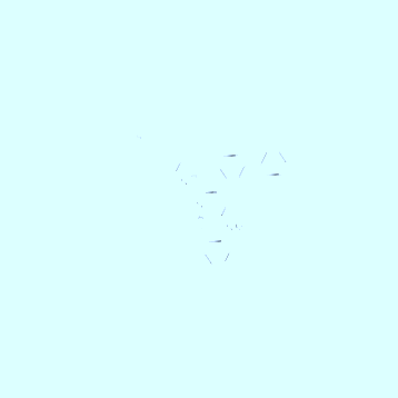 CCC(N)COCC(=O)N(C)[C@H](Cc1ccc(-c2ccccc2)cc1)C(=O)N(C)[C@H](Cc1ccccc1F)C(=O)NC